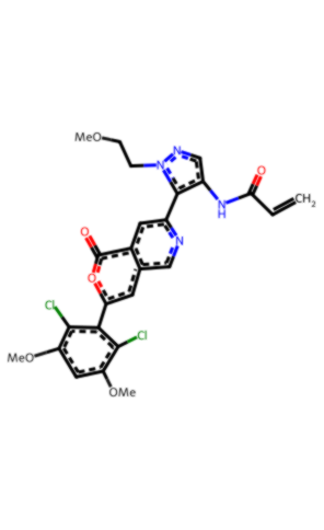 C=CC(=O)Nc1cnn(CCOC)c1-c1cc2c(=O)oc(-c3c(Cl)c(OC)cc(OC)c3Cl)cc2cn1